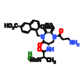 CNC(C)C(=O)N[C@H]1CN(C(=O)CCN)c2ccccc2N(Cc2c(OC)ccc3cc(C(=O)O)ccc23)C1=O.Cl